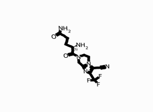 N#Cc1c(C(F)(F)F)nc2n1CCN(C(=O)[C@@H](N)CCC(N)=O)C2